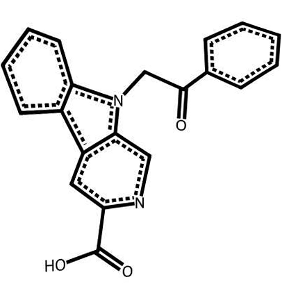 O=C(Cn1c2ccccc2c2cc(C(=O)O)ncc21)c1ccccc1